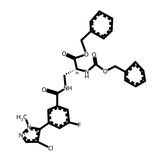 Cn1ncc(Cl)c1-c1cc(F)cc(C(=O)NC[C@@H](NC(=O)OCc2ccccc2)C(=O)OCc2ccccc2)c1